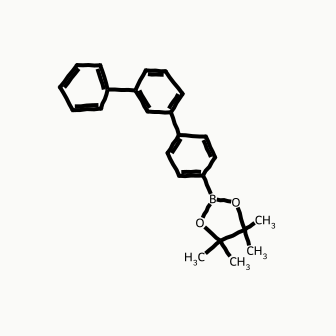 CC1(C)OB(c2ccc(-c3cccc(-c4ccccc4)c3)cc2)OC1(C)C